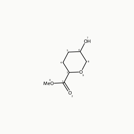 COC(=O)C1CCC(O)CO1